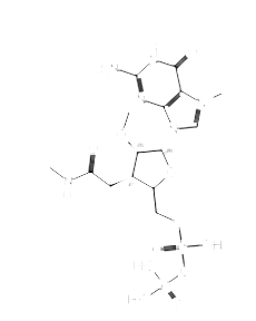 CNC(=O)C[C@@H]1C(COP(=O)(O)OP(=O)(O)O)O[C@@H](n2c[n+](C)c3c(=O)[nH]c(N)nc32)[C@@H]1OC